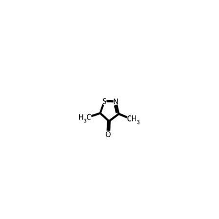 CC1=NSC(C)C1=O